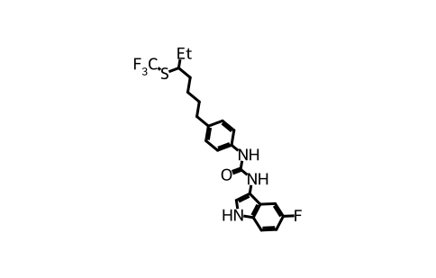 CCC(CCCCc1ccc(NC(=O)Nc2c[nH]c3ccc(F)cc23)cc1)SC(F)(F)F